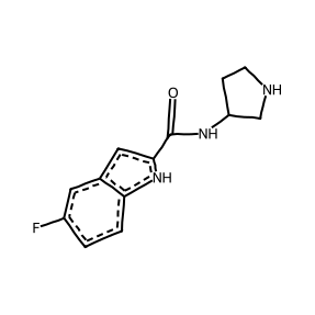 O=C(NC1CCNC1)c1cc2cc(F)ccc2[nH]1